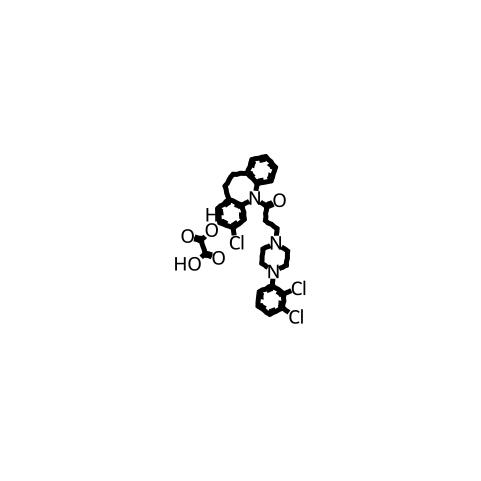 O=C(CCN1CCN(c2cccc(Cl)c2Cl)CC1)N1c2ccccc2CCc2ccc(Cl)cc21.O=C(O)C(=O)O